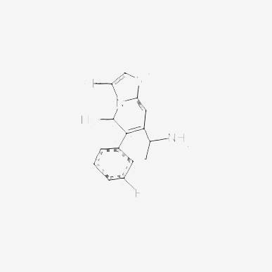 CC(N)C1=C(c2cccc(F)c2)C(O)N2C(Cl)=CSC2=C1